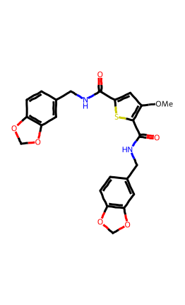 COc1cc(C(=O)NCc2ccc3c(c2)OCO3)sc1C(=O)NCc1ccc2c(c1)OCO2